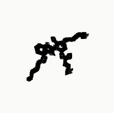 CCCCCOc1cccc2sc(N3C(=O)N(CCCBr)CC3OC(=O)CCBr)nc12